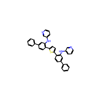 c1ccc(-c2ccc(-c3ccc(-c4ccc(-c5ccccc5)cc4Nc4cccnc4)s3)c(Nc3cccnc3)c2)cc1